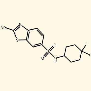 O=S(=O)(NC1CCC(F)(F)CC1)c1ccc2nc(Br)sc2c1